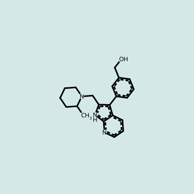 CC1CCCCN1Cc1[nH]c2ncccc2c1-c1cccc(CO)c1